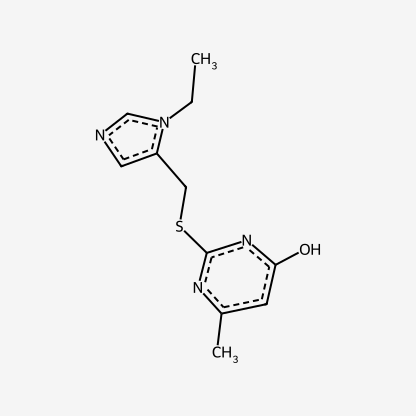 CCn1cncc1CSc1nc(C)cc(O)n1